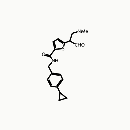 CNCC(C=O)c1ccc(C(=O)NCc2ccc(C3CC3)cc2)s1